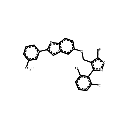 CCCc1onc(-c2c(Cl)cccc2Cl)c1COc1ccc2sc(-c3cccc(C(=O)OCC)c3)cc2c1